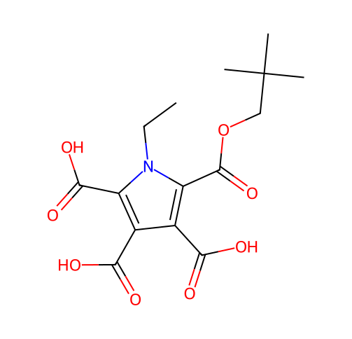 CCn1c(C(=O)O)c(C(=O)O)c(C(=O)O)c1C(=O)OCC(C)(C)C